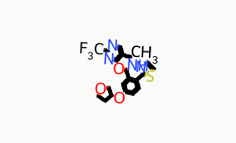 C[C@@H](NC(=O)c1cc(O[C@@H]2CCOC2)ccc1-c1nccs1)c1cnc(C(F)(F)F)nc1